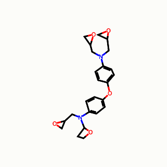 c1cc(N(CC2CO2)CC2CO2)ccc1Oc1ccc(N(CC2CO2)C2CCO2)cc1